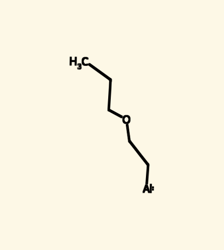 CCCOC[CH2][Al]